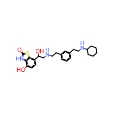 O=c1[nH]c2c(O)ccc(C(O)CNCCc3cccc(CCNC4CCCCC4)c3)c2s1